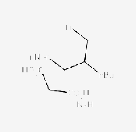 O=C(O)CC(=O)O.[Li][CH2]C(CCCC)CCCCCCCCCC.[NaH]